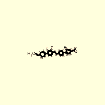 C/C=C/C1CC=C(c2ccc(CCc3ccc(-c4ccc(C5CO5)cc4F)cc3)c(F)c2F)CC1